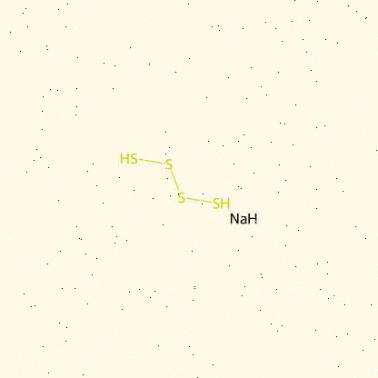 SSSS.[NaH]